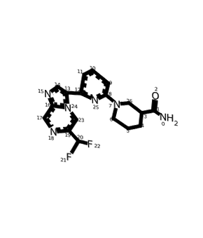 NC(=O)C1CCCN(c2cccc(-c3cnc4cnc(C(F)F)cn34)n2)C1